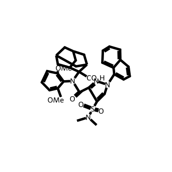 COc1cccc(OC)c1N(C(=O)c1nn(-c2cccc3ccccc23)cc1S(=O)(=O)N(C)C)C1(C(=O)O)C2CC3CC(C2)CC1C3